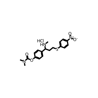 CNC(CCSc1ccc([N+](=O)[O-])cc1)c1ccc(OC(=O)N(C)C)cc1.Cl